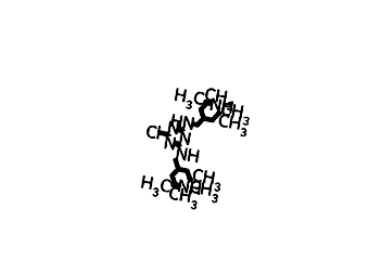 CC1(C)CC(CNc2nc(Cl)nc(NCC3CC(C)(C)NC(C)(C)C3)n2)CC(C)(C)N1